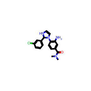 CN(C)C(=O)c1ccc(N2C=CNC2c2cccc(Cl)c2)c(N)c1